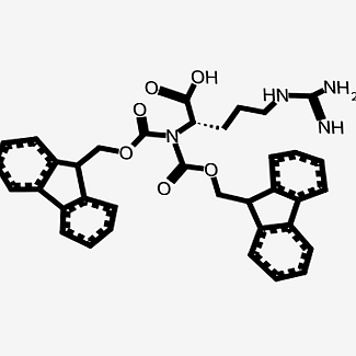 N=C(N)NCCC[C@@H](C(=O)O)N(C(=O)OCC1c2ccccc2-c2ccccc21)C(=O)OCC1c2ccccc2-c2ccccc21